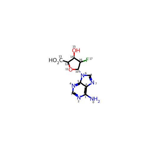 Nc1ncnc2c1ncn2[C@@H]1OC(C(=O)O)[C@@H](O)C1F